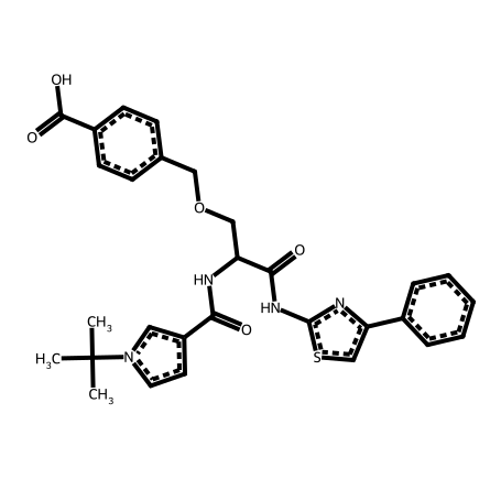 CC(C)(C)n1ccc(C(=O)NC(COCc2ccc(C(=O)O)cc2)C(=O)Nc2nc(-c3ccccc3)cs2)c1